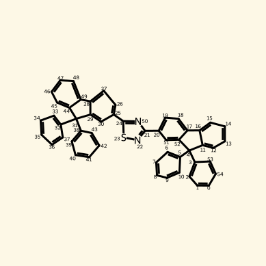 c1ccc(C2(c3ccccc3)c3ccccc3-c3ccc(-c4nsc(-c5ccc6c(c5)C(c5ccccc5)(c5ccccc5)c5ccccc5-6)n4)cc32)cc1